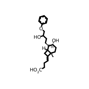 C[C@]12CC[C@@H](O)[C@H](CCC(O)COc3ccccc3)[C@H]1CC2=CCCC(=O)O